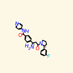 N[C@H](CC(=O)N1CCC[C@H]1c1cccc(F)c1)c1ccc(C(=O)Nc2ccncc2)cc1